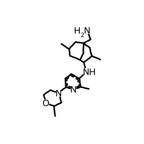 Cc1nc(N2CCOC(C)C2)ccc1NC1C(C)CC2(CN)CC(C)CC1C2